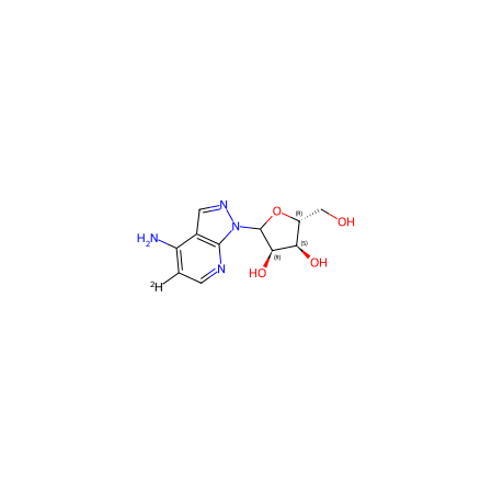 [2H]c1cnc2c(cnn2C2O[C@H](CO)[C@@H](O)[C@H]2O)c1N